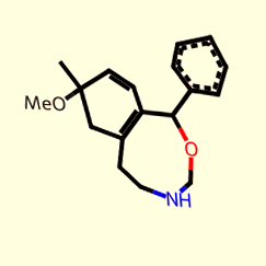 COC1(C)C=CC2=C(CCNCOC2c2ccccc2)C1